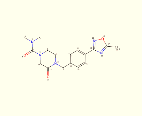 CN(C)C(=O)N1CCN(Cc2ccc(-c3noc(C(F)(F)F)n3)cc2)C(=O)C1